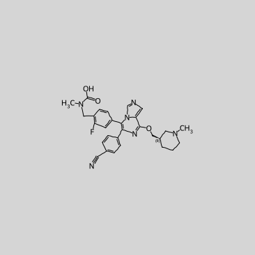 CN1CCC[C@@H](COc2nc(-c3ccc(C#N)cc3)c(-c3ccc(CN(C)C(=O)O)c(F)c3)n3cncc23)C1